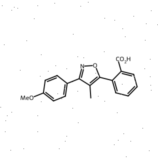 COc1ccc(-c2noc(-c3ccccc3C(=O)O)c2C)cc1